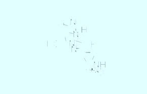 CCc1cc(C(=O)N2CCCCCC2C)nc2cc(-c3ccc(NS(=O)(=O)C4CC4)cc3F)nn12